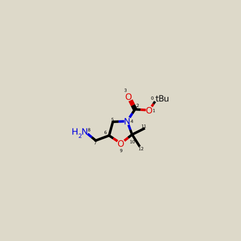 CC(C)(C)OC(=O)N1CC(CN)OC1(C)C